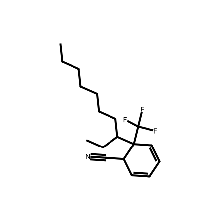 CCCCCCCC(CC)C1(C(F)(F)F)C=CC=CC1C#N